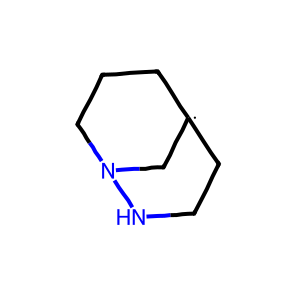 C1C[C]2CCNN(C1)C2